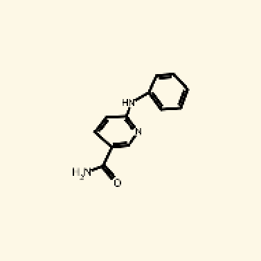 NC(=O)c1ccc(Nc2ccccc2)nc1